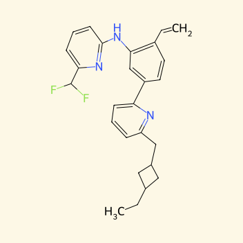 C=Cc1ccc(-c2cccc(CC3CC(CC)C3)n2)cc1Nc1cccc(C(F)F)n1